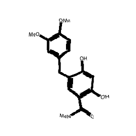 CNC(=O)c1cc(Cc2ccc(OC)c(OC)c2)c(O)cc1O